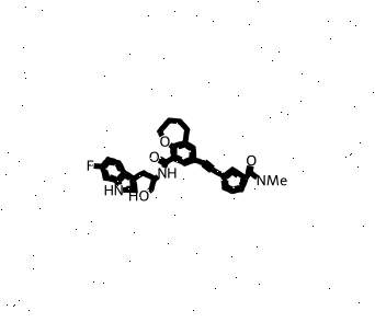 CNC(=O)c1cccc(C#Cc2cc3c(c(C(=O)NC(CO)Cc4c[nH]c5cc(F)ccc45)c2)OCCCC3)c1